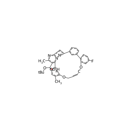 Cc1ccc2cc1OC/C=C\COc1cc(F)ccc1-c1cccc(c1)-c1cc3nc(C)c([C@H](OC(C)(C)C)C(=O)O)c-2n3n1